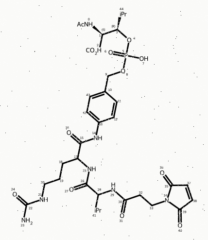 CC(=O)N[C@H](C(=O)O)[C@H](OP(=O)(O)OCc1ccc(NC(=O)C(CCCNC(N)=O)NC(=O)C(NC(=O)CCN2C(=O)C=CC2=O)C(C)C)cc1)C(C)C